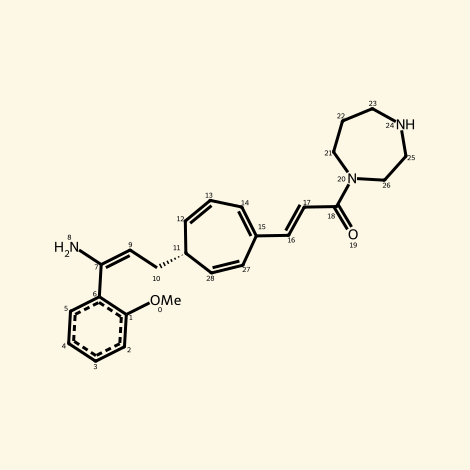 COc1ccccc1/C(N)=C\C[C@@H]1C=CC=C(/C=C/C(=O)N2CCCNCC2)C=C1